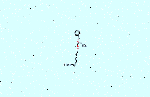 CCCCCCCCCC1CC1CCCCCCOCC(CC(C)(C)C)OCc1ccccc1